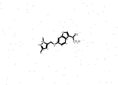 CCC(C(=O)O)c1csc2cc(OCc3cc(C)nn3C)ccc12